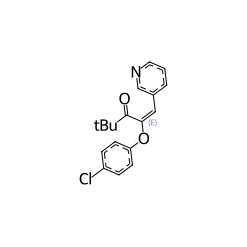 CC(C)(C)C(=O)/C(=C\c1cccnc1)Oc1ccc(Cl)cc1